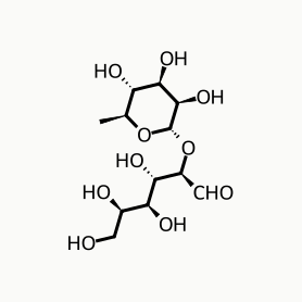 C[C@@H]1O[C@@H](O[C@@H](C=O)[C@@H](O)[C@@H](O)[C@H](O)CO)[C@H](O)[C@H](O)[C@H]1O